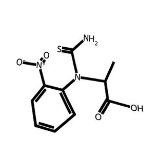 CC(C(=O)O)N(C(N)=S)c1ccccc1[N+](=O)[O-]